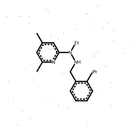 CCN(NCc1ccccc1C(C)C)c1cc(C)cc(C)n1